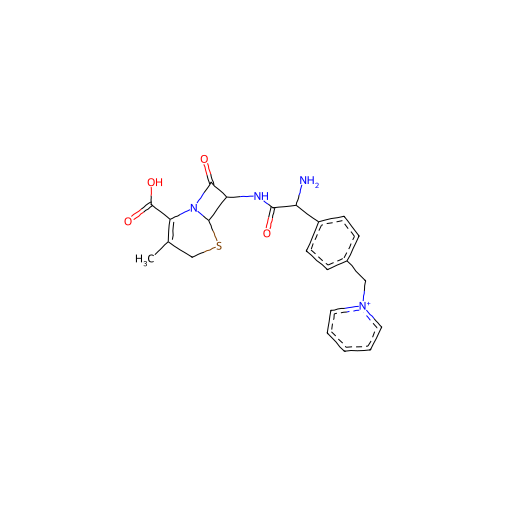 CC1=C(C(=O)O)N2C(=O)C(NC(=O)C(N)c3ccc(C[n+]4ccccc4)cc3)C2SC1